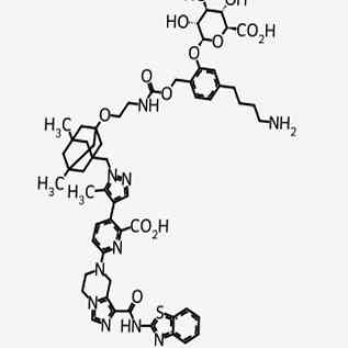 Cc1c(-c2ccc(N3CCn4cnc(C(=O)Nc5nc6ccccc6s5)c4C3)nc2C(=O)O)cnn1CC12CC3(C)CC(C)(C1)CC(OCCNC(=O)OCc1ccc(CCCCN)cc1O[C@@H]1O[C@H](C(=O)O)[C@@H](O)[C@H](O)[C@H]1O)(C3)C2